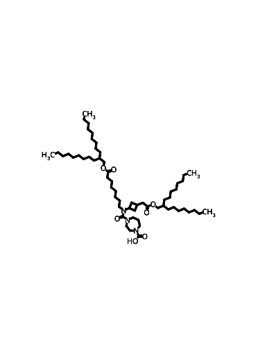 CCCCCCCCCC(CCCCCCCCC)COC(=O)CCCCCCCN(C(=O)N1CCCN(C(=O)O)CC1)C1CC(CC(=O)OCC(CCCCCCCC)CCCCCCCC)C1